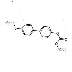 CCCCCCCCOC(=O)Oc1ccc(-c2ccc(SCCCCC)cc2)cc1